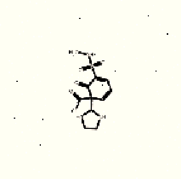 CNS(=O)(=O)C1=CC=CC(C(=O)Cl)(C2NCCN2)C1=O